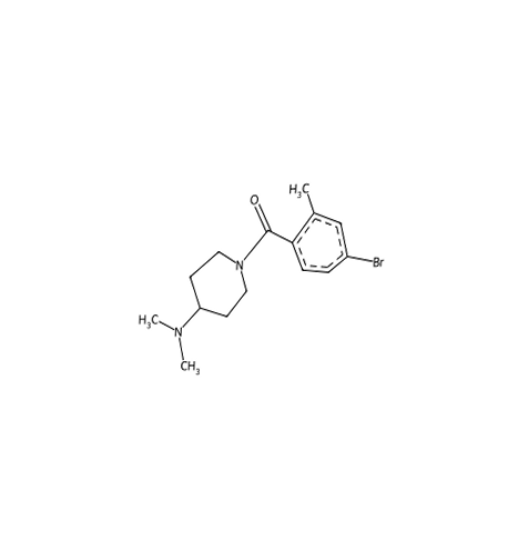 Cc1cc(Br)ccc1C(=O)N1CCC(N(C)C)CC1